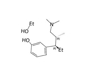 CCO.CC[C@@H](c1cccc(O)c1)[C@@H](C)CN(C)C